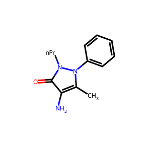 CCCn1c(=O)c(N)c(C)n1-c1ccccc1